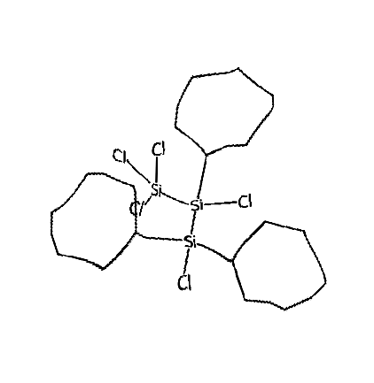 Cl[Si](Cl)(Cl)[Si](Cl)(C1CCCCC1)[Si](Cl)(C1CCCCC1)C1CCCCC1